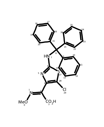 CON=C(C(=O)O)c1nc(NC(c2ccccc2)(c2ccccc2)c2ccccc2)sc1Cl